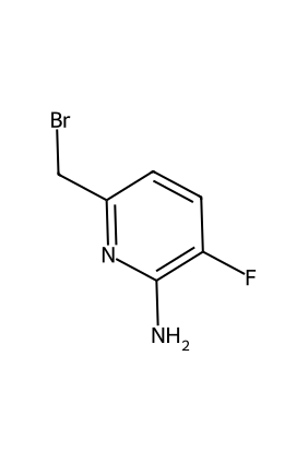 Nc1nc(CBr)ccc1F